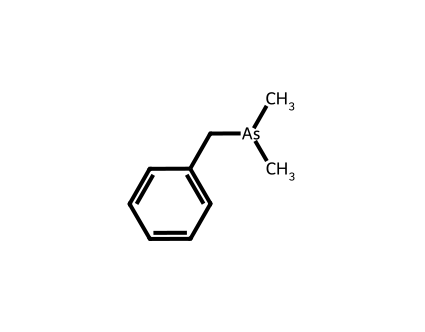 C[As](C)Cc1ccccc1